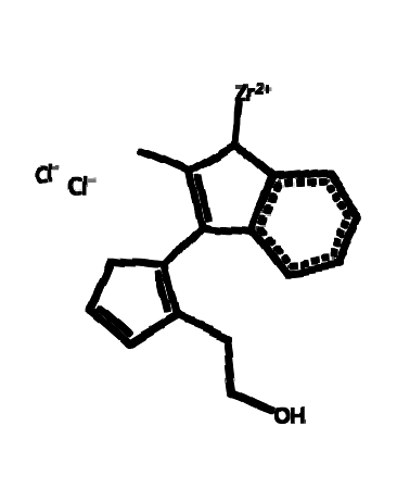 CC1=C(C2=C(CCO)C=CC2)c2ccccc2[CH]1[Zr+2].[Cl-].[Cl-]